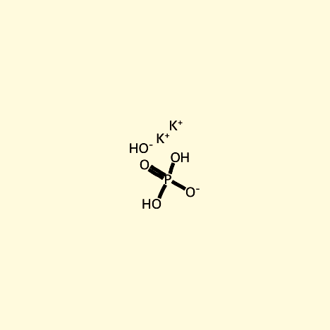 O=P([O-])(O)O.[K+].[K+].[OH-]